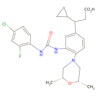 C[C@@H]1CN(c2ccc(C(CC(=O)O)C3CC3)cc2NC(=O)Nc2ccc(Cl)cc2F)C[C@H](C)O1